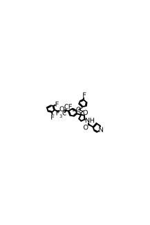 O=C(NC1CCC(c2ccc(C(OCc3c(F)cccc3F)(C(F)(F)F)C(F)(F)F)cc2)(S(=O)(=O)c2ccc(F)cc2)C1)c1ccncc1